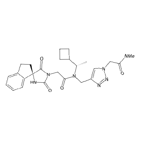 CNC(=O)Cn1cc(CN(C(=O)CN2C(=O)N[C@@]3(CCc4ccccc43)C2=O)[C@@H](C)C2CCC2)nn1